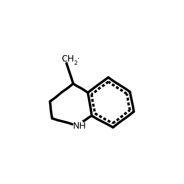 [CH2]C1CCNc2ccccc21